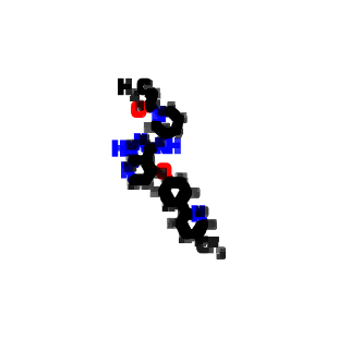 C=CC(=O)N1CCC[C@H](Nc2n[nH]c3nccc(Oc4ccc(-c5ccc(C(F)(F)F)cn5)cc4)c23)C1